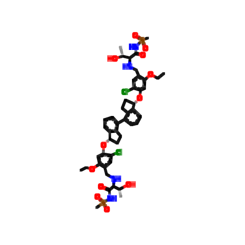 CCOc1cc(O[C@H]2CCc3c(-c4cccc5c4CC[C@@H]5Oc4cc(OCC)c(CN[C@H](C(=O)NS(C)(=O)=O)[C@@H](C)O)cc4Cl)cccc32)c(Cl)cc1CN[C@H](C(=O)NS(C)(=O)=O)[C@@H](C)O